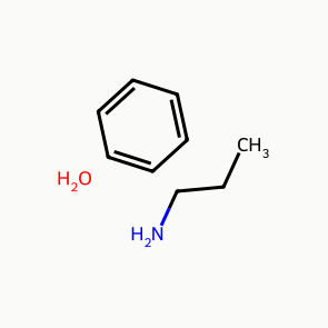 CCCN.O.c1ccccc1